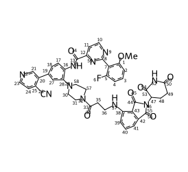 COc1cccc(F)c1-c1nccc(C(=O)Nc2ccc(-c3cnccc3C#N)cc2N2CCN(C(=O)CCNc3cccc4c3C(=O)N(C3CCC(=O)NC3=O)C4=O)CC2)n1